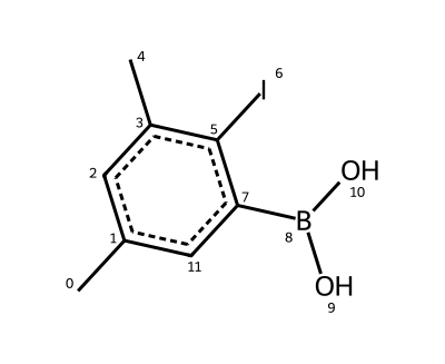 Cc1cc(C)c(I)c(B(O)O)c1